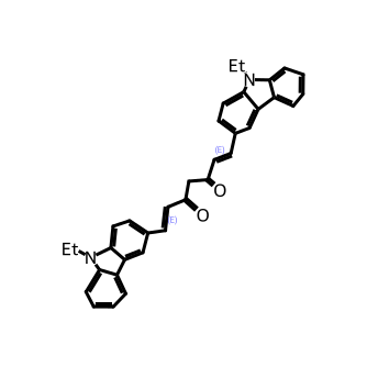 CCn1c2ccccc2c2cc(/C=C/C(=O)CC(=O)/C=C/c3ccc4c(c3)c3ccccc3n4CC)ccc21